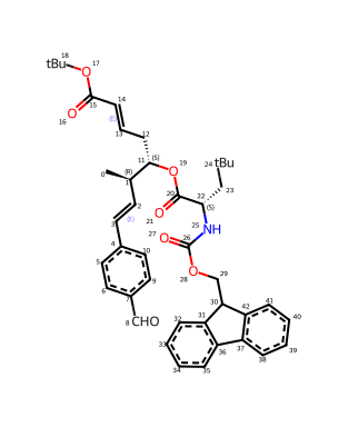 C[C@H](/C=C/c1ccc(C=O)cc1)[C@H](C/C=C/C(=O)OC(C)(C)C)OC(=O)[C@H](CC(C)(C)C)NC(=O)OCC1c2ccccc2-c2ccccc21